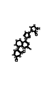 Cc1nc2c(c(-n3ccc(N4CCNC4=O)n3)n1)CCCN2c1ccc(Cl)cc1Cl